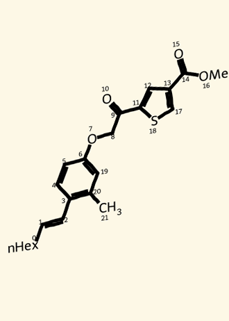 CCCCCC/C=C/c1ccc(OCC(=O)c2cc(C(=O)OC)cs2)cc1C